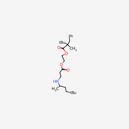 CC(C)CC(C)(C(=O)OCCOC(=O)CCNC(C)CCC(C)(C)C)C(C)(C)C